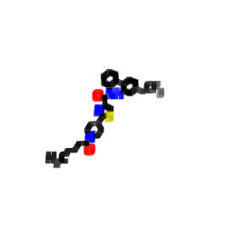 C=CCCC(=O)N1CCC(c2nc(C(=O)Nc3ccccc3-c3ccc(CC(F)(F)F)cc3)cs2)CC1